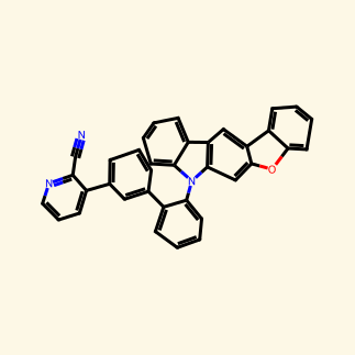 N#Cc1ncccc1-c1cccc(-c2ccccc2-n2c3ccccc3c3cc4c(cc32)oc2ccccc24)c1